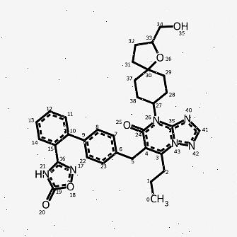 CCCc1c(Cc2ccc(-c3ccccc3-c3noc(=O)[nH]3)cc2)c(=O)n(C2CCC3(CCC(CO)O3)CC2)c2ncnn12